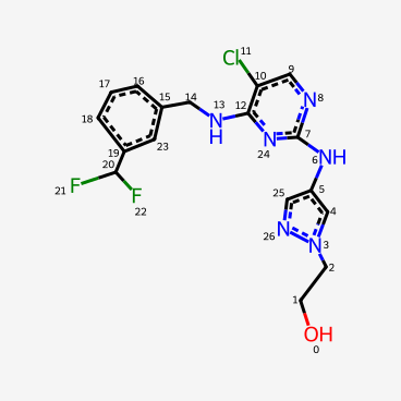 OCCn1cc(Nc2ncc(Cl)c(NCc3cccc(C(F)F)c3)n2)cn1